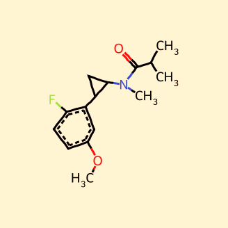 COc1ccc(F)c(C2CC2N(C)C(=O)C(C)C)c1